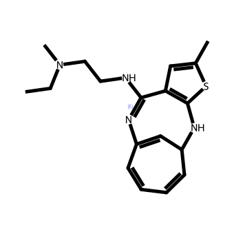 CCN(C)CCN/C1=N/C2=CC(C=CC=C2)Nc2sc(C)cc21